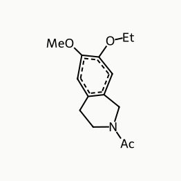 CCOc1cc2c(cc1OC)CCN(C(C)=O)C2